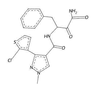 Cn1cc(C(=O)NC(Cc2ccccc2)C(=O)C(N)=O)c(-c2ccsc2Cl)n1